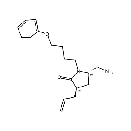 C=CC[C@@H]1C[C@@H](CN)N(CCCCOc2ccccc2)C1=O